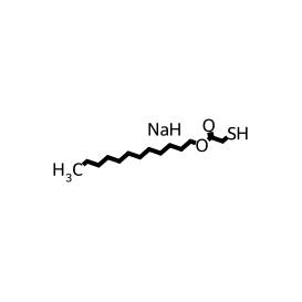 CCCCCCCCCCCCOC(=O)CS.[NaH]